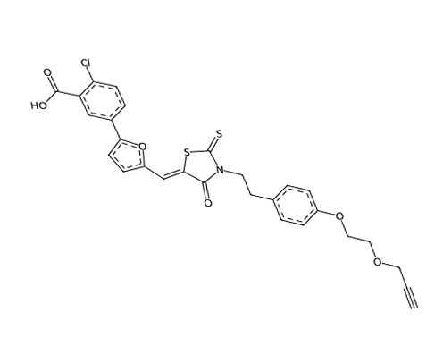 C#CCOCCOc1ccc(CCN2C(=O)/C(=C/c3ccc(-c4ccc(Cl)c(C(=O)O)c4)o3)SC2=S)cc1